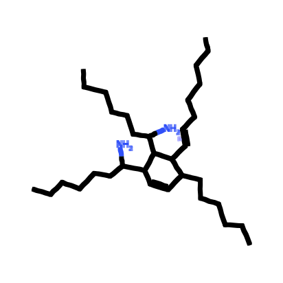 CCCCCC/C=C/C1C(CCCCCC)C=CC(C(N)CCCCCC)C1C(N)CCCCCC